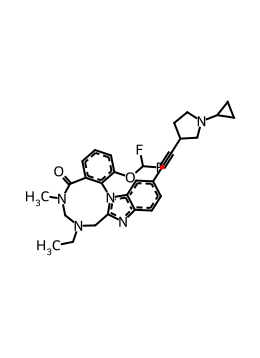 CCN1Cc2nc3ccc(C#CC4CCN(C5CC5)C4)cc3n2-c2c(OC(F)F)cccc2C(=O)N(C)C1